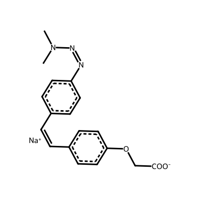 CN(C)/N=N\c1ccc(/C=C\c2ccc(OCC(=O)[O-])cc2)cc1.[Na+]